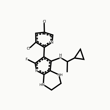 CC(Nc1c2c(nc(F)c1-c1ncc(Cl)cc1Cl)NCCN2)C1CC1